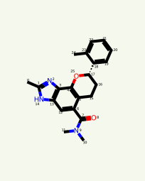 Cc1nc2c3c(c(C(=O)N(C)C)cc2[nH]1)CC[C@@H](c1ccccc1C)O3